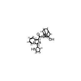 O=C(NC12CC3CC(CC(O)(C3)C1)C2)c1nc(C2CCCN2)n2ccccc12